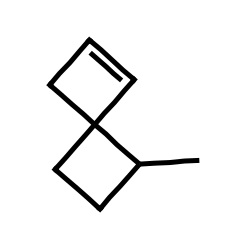 CC1CCC12C=CC2